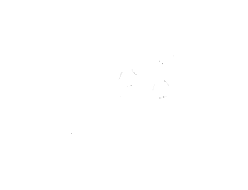 CN1Cc2c(Cl)cc(Cl)cc2C(c2cccc(SNCCOCCN)c2)C1